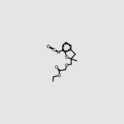 CCOC(=O)COCC1(C)Cc2cccc(N=C=O)c2O1